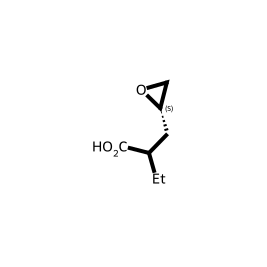 CCC(C[C@H]1CO1)C(=O)O